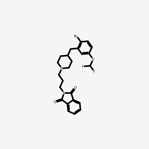 O=C1c2ccccc2C(=O)N1CCCN1CCC(Cc2cc(OC(F)F)ccc2Br)CC1